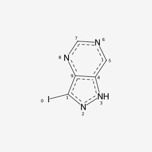 Ic1n[nH]c2cncnc12